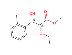 CCO[C@@H](C(=O)OC)[C@@H](O)c1ccccc1C